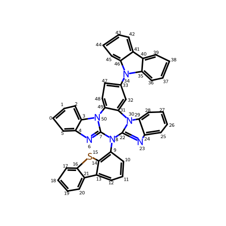 c1ccc2c(c1)nc1n(-c3cccc4c3sc3ccccc34)c3nc4ccccc4n3c3cc(-n4c5ccccc5c5ccccc54)ccc3n21